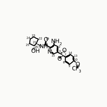 Nc1cc(S(=O)(=O)c2ccc(OC(F)(F)F)cc2)cnc1C(=O)N[C@@H]1CCCC[C@H]1O